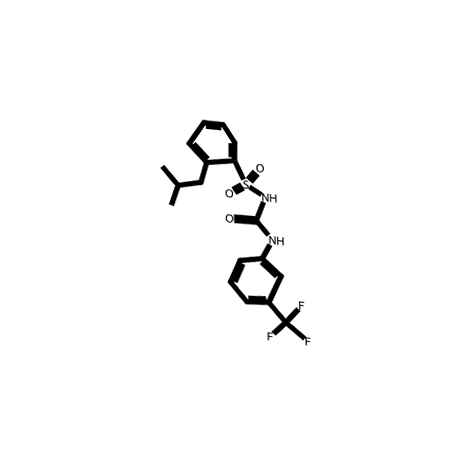 CC(C)Cc1ccccc1S(=O)(=O)NC(=O)Nc1cccc(C(F)(F)F)c1